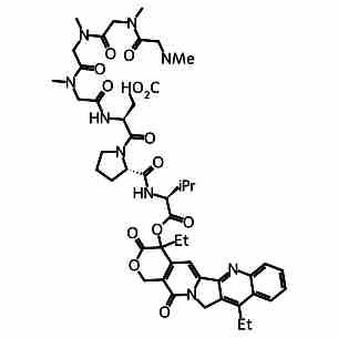 CCc1c2c(nc3ccccc13)-c1cc3c(c(=O)n1C2)COC(=O)C3(CC)OC(=O)[C@@H](NC(=O)[C@@H]1CCCN1C(=O)[C@H](CC(=O)O)NC(=O)CN(C)C(=O)CN(C)C(=O)CN(C)C(=O)CNC)C(C)C